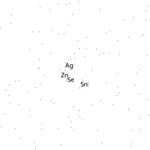 [Ag].[Se].[Sn].[Zn]